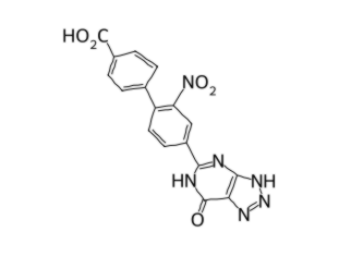 O=C(O)c1ccc(-c2ccc(-c3nc4[nH]nnc4c(=O)[nH]3)cc2[N+](=O)[O-])cc1